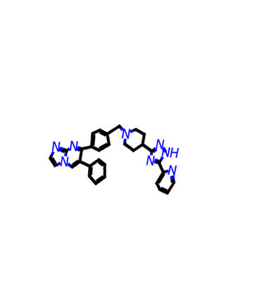 c1ccc(-c2cn3ccnc3nc2-c2ccc(CN3CCC(c4n[nH]c(-c5ccccn5)n4)CC3)cc2)cc1